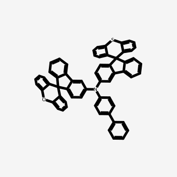 c1ccc(-c2ccc(N(c3ccc4c(c3)-c3ccccc3C43c4ccccc4Oc4ccccc43)c3ccc4c(c3)-c3ccccc3C43c4ccccc4Sc4ccccc43)cc2)cc1